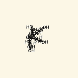 CNC(=O)C(CCCCNC(=O)OCCOC(=O)NCCC(C)(C)O)NC(=O)C(CCCCNC(=O)OCCOC(=O)NCCC(C)(C)O)NC(=O)C(CCCCNC(=O)OCCOC(=O)NCCC(C)(C)O)NC(=O)OCCOC(=O)NCCC(C)(C)O